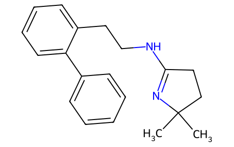 CC1(C)CCC(NCCc2ccccc2-c2ccccc2)=N1